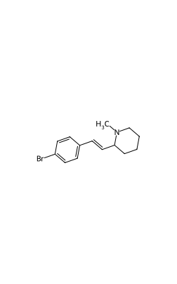 CN1CCCCC1/C=C/c1ccc(Br)cc1